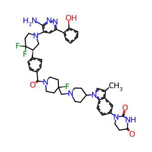 Cc1cn(C2CCN(CC3(F)CCN(C(=O)c4ccc([C@@H]5CN(c6cc(-c7ccccc7O)nnc6N)CCC5(F)F)cc4)CC3)CC2)c2ccc(N3CCC(=O)NC3=O)cc12